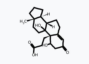 C[C@@]12CCC[C@H]1[C@@H]1CCC3=CC(=O)CC(O)[C@]3(CCC(=O)O)C1(O)CC2